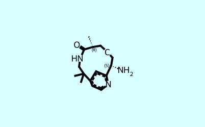 C[C@@H]1CCC[C@H](N)c2cc(ccn2)C(C)(C)CNC1=O